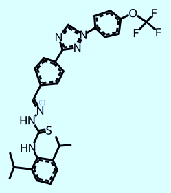 CC(C)c1cccc(C(C)C)c1NC(=S)N/N=C/c1ccc(-c2ncn(-c3ccc(OC(F)(F)F)cc3)n2)cc1